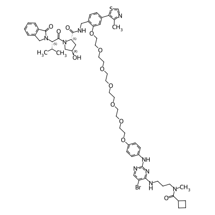 Cc1ncsc1-c1ccc(CNC(=O)[C@@H]2C[C@@H](O)CN2C(=O)[C@H](C(C)C)N2Cc3ccccc3C2=O)c(OCCOCCOCCOCCOCCOCCOc2ccc(Nc3ncc(Br)c(NCCCN(C)C(=O)C4CCC4)n3)cc2)c1